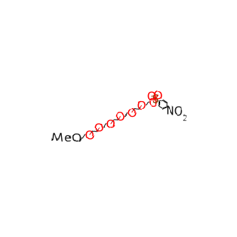 COCCOCCOCCOCCOCCOCCOCCOS(=O)(=O)c1ccc([N+](=O)[O-])cc1